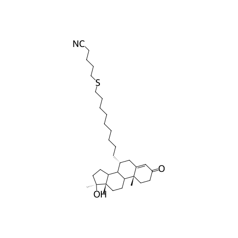 C[C@]12CCC(=O)C=C1C[C@@H](CCCCCCCCCSCCCCC#N)C1C2CC[C@@]2(C)C1CC[C@]2(C)O